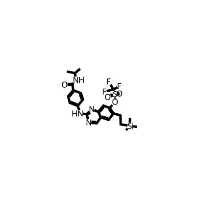 CC(C)NC(=O)c1ccc(Nc2ncc3cc(CC[Si](C)(C)C)c(OS(=O)(=O)C(F)(F)F)cc3n2)cc1